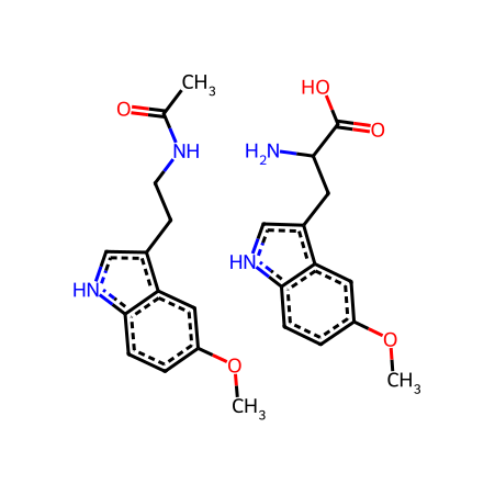 COc1ccc2[nH]cc(CC(N)C(=O)O)c2c1.COc1ccc2[nH]cc(CCNC(C)=O)c2c1